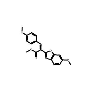 COC(=O)C(=Cc1ccc(OC)cc1)c1nc2ccc(OC)cc2o1